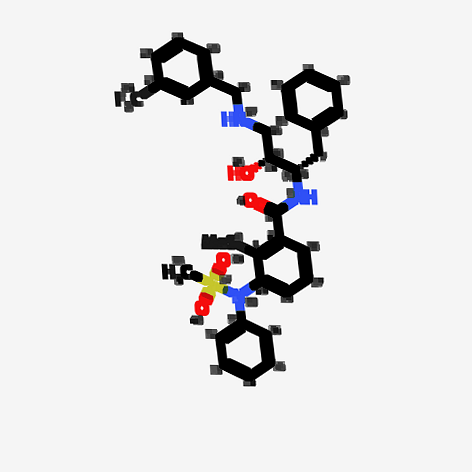 CSc1c(C(=O)N[C@@H](Cc2ccccc2)[C@H](O)CNCc2cccc(C(F)(F)F)c2)cccc1N(c1ccccc1)S(C)(=O)=O